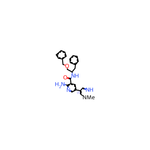 CN/C=C(\C=N)c1cnc(N)c(C(=O)NC(COCc2ccccc2)Cc2ccccc2)c1